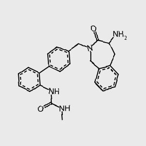 CNC(=O)Nc1ccccc1-c1ccc(CN2Cc3ccccc3CC(N)C2=O)cc1